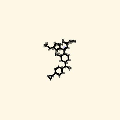 CCC(c1ccc(C2CC2)nc1)N1CCN(/C(=C/C(=O)NC)c2nc(CC#N)c[nH]2)C(CC)C1